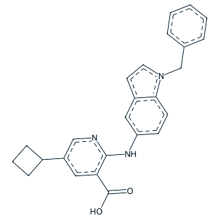 O=C(O)c1cc(C2CCC2)cnc1Nc1ccc2c(ccn2Cc2ccccc2)c1